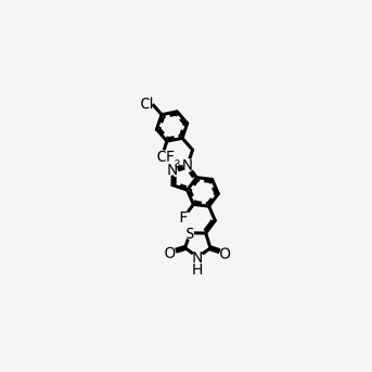 O=C1NC(=O)C(=Cc2ccc3c(cnn3Cc3ccc(Cl)cc3C(F)(F)F)c2F)S1